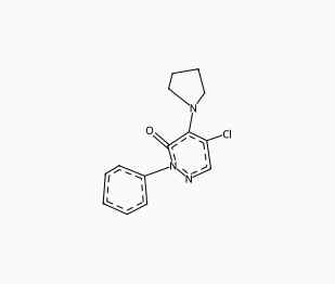 O=c1c(N2CCCC2)c(Cl)cnn1-c1ccccc1